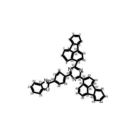 c1ccc2c(c1)-c1cccc3c(-c4nc(-c5ccc(-c6nc7ccccc7o6)cc5)nc(-c5ccc6c7c(cccc57)-c5ccccc5-6)n4)ccc-2c13